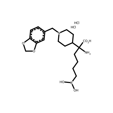 Cl.Cl.NC(CCCCB(O)O)(C(=O)O)C1CCN(Cc2ccc3c(c2)OCO3)CC1